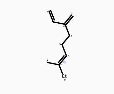 C=CC(=C)CC/C=C(\C)CC